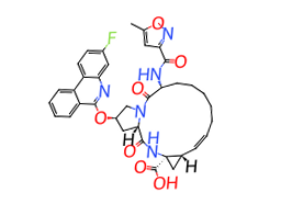 Cc1cc(C(=O)N[C@H]2CCCCC/C=C\[C@@H]3C[C@@]3(C(=O)O)NC(=O)[C@@H]3C[C@@H](Oc4nc5cc(F)ccc5c5ccccc45)CN3C2=O)no1